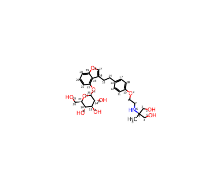 CC(CO)(CO)NCCOc1ccc(CCc2coc3cccc(O[C@@H]4O[C@H](CO)[C@@H](O)[C@H](O)[C@H]4O)c23)cc1